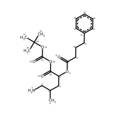 CC(CN)CC(OC(=O)CCCc1ccccc1)C(=O)OC(=O)OC(C)(C)C